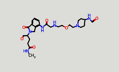 CNC(=O)CCC(C=O)N1Cc2c(NC(=O)CNCCOCCN3CCC(NC=O)CC3)cccc2C1=O